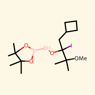 COC(C)(C)C(I)(CC1CCC1)OBB1OC(C)(C)C(C)(C)O1